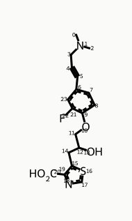 CN(C)CC#Cc1ccc(OCC(O)Cc2scnc2C(=O)O)c(F)c1